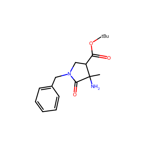 CC(C)(C)OC(=O)C1CN(Cc2ccccc2)C(=O)C1(C)N